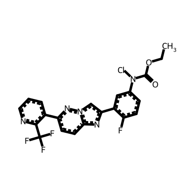 CCOC(=O)N(Cl)c1ccc(F)c(-c2cn3nc(-c4cccnc4C(F)(F)F)ccc3n2)c1